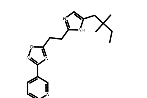 CCC(C)(C)Cc1cnc(CCc2nc(-c3cccnc3)no2)[nH]1